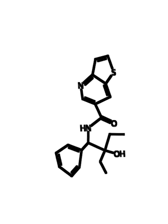 CCC(O)(CC)C(NC(=O)c1cnc2ccsc2c1)c1ccccc1